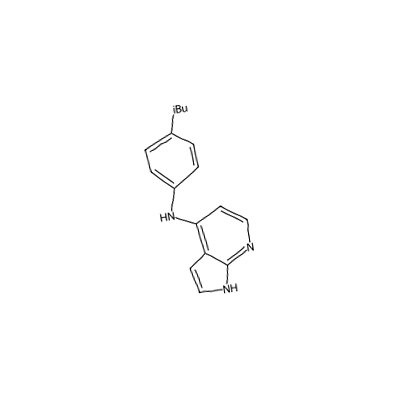 CCC(C)c1ccc(Nc2ccnc3[nH]ccc23)cc1